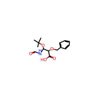 CC(C)(C)OC(NC=O)C(OCc1ccccc1)C(=O)O